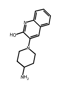 NC1CCN(c2cc3ccccc3nc2O)CC1